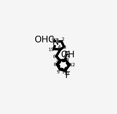 O=CN1CCC(O)(Cc2ccc(F)cc2F)C1